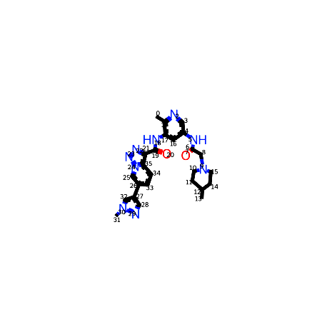 Cc1ncc(NC(=O)CN2CCC(C)CC2)cc1NC(=O)c1nnn2cc(-c3cnn(C)c3)ccc12